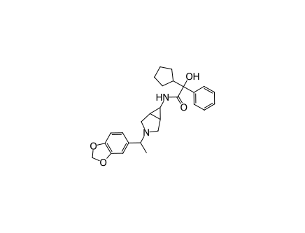 CC(c1ccc2c(c1)OCO2)N1CC2C(C1)C2NC(=O)C(O)(c1ccccc1)C1CCCC1